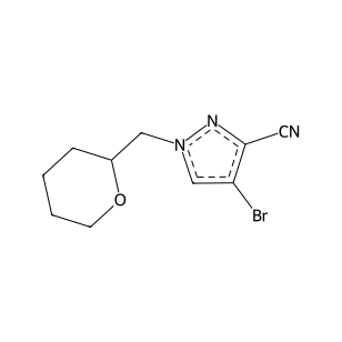 N#Cc1nn(CC2CCCCO2)cc1Br